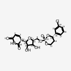 O=c1ccn([C@H]2O[C@@H](COP3(=O)OCC[C@@H](c4cccc(Cl)c4)O3)C(O)C2O)c(=O)[nH]1